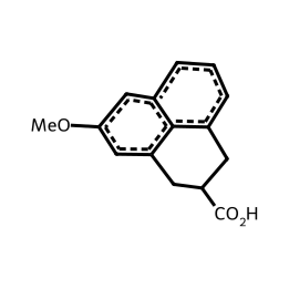 COc1cc2c3c(cccc3c1)CC(C(=O)O)C2